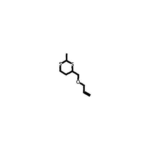 C=CCOCC1CCSC(C)S1